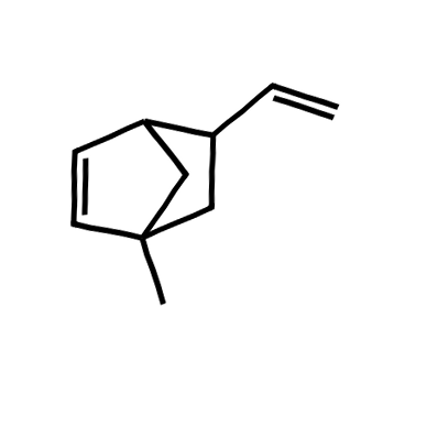 C=CC1CC2(C)C=CC1C2